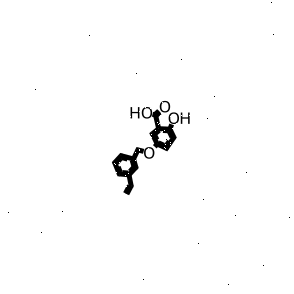 C=Cc1cccc(COc2ccc(O)c(C(=O)O)c2)c1